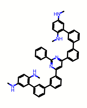 CNc1ccc(NC)c(-c2cccc(-c3cccc(-c4cc(-c5cccc(-c6cccc(-c7cc(NC)ccc7NC)c6)c5)nc(-c5ccccc5)n4)c3)c2)c1